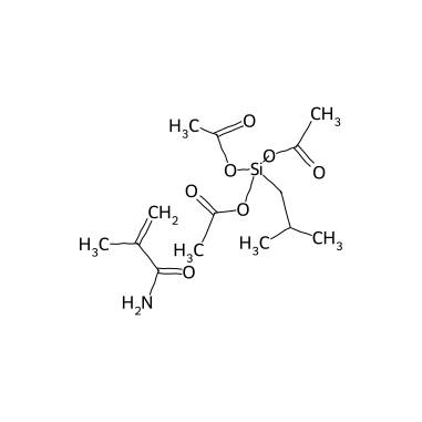 C=C(C)C(N)=O.CC(=O)O[Si](CC(C)C)(OC(C)=O)OC(C)=O